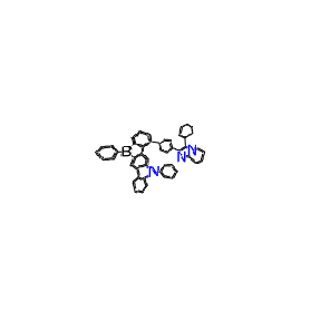 c1ccc(B2c3cc4c5ccccc5n(-c5ccccc5)c4cc3-c3c2cccc3-c2ccc(-c3nc4ccccn4c3-c3ccccc3)cc2)cc1